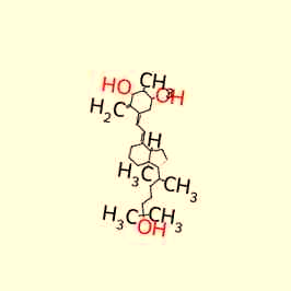 C=C1/C(=C/C=C2\CCC[C@]3(C)[C@@H]([C@@H](C)CCCC(C)(C)O)CC[C@@H]23)C[C@H](O)[C@H](C)[C@H]1O